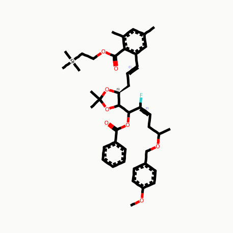 COc1ccc(COC(C)C/C=C(/F)C(OC(=O)c2ccccc2)C2OC(C)(C)O[C@H]2C/C=C/c2cc(C)cc(C)c2C(=O)OCC[Si](C)(C)C)cc1